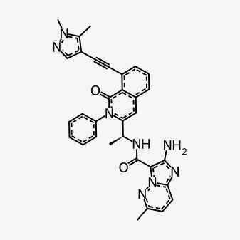 Cc1ccc2nc(N)c(C(=O)N[C@@H](C)c3cc4cccc(C#Cc5cnn(C)c5C)c4c(=O)n3-c3ccccc3)n2n1